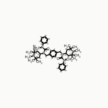 CN(C(=O)N(Cc1ccc(CN(C(=O)N(C)c2ccccc2)C2CC(C)(C)N(C)C(C)(C)C2)cc1)C1CC(C)(C)N(C)C(C)(C)C1)c1ccccc1